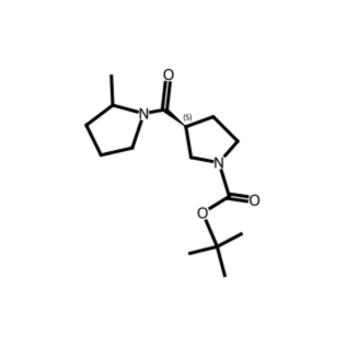 CC1CCCN1C(=O)[C@H]1CCN(C(=O)OC(C)(C)C)C1